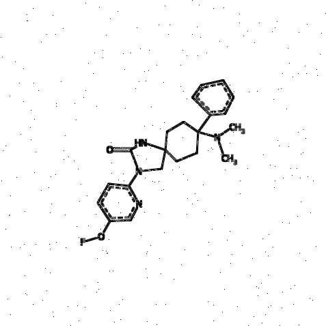 CN(C)C1(c2ccccc2)CCC2(CC1)CN(c1ccc(OF)cn1)C(=O)N2